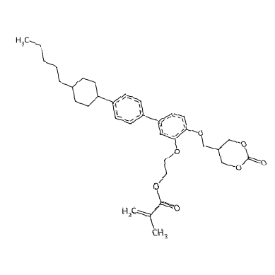 C=C(C)C(=O)OCCOc1cc(-c2ccc(C3CCC(CCCCC)CC3)cc2)ccc1OCC1COC(=O)OC1